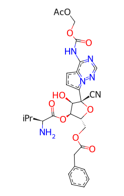 CC(=O)OCOC(=O)Nc1ncnn2c([C@]3(C#N)O[C@H](COC(=O)Cc4ccccc4)[C@@H](OC(=O)[C@@H](N)C(C)C)[C@H]3O)ccc12